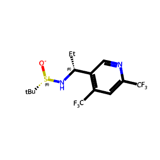 CC[C@@H](N[S@@+]([O-])C(C)(C)C)c1cnc(C(F)(F)F)cc1C(F)(F)F